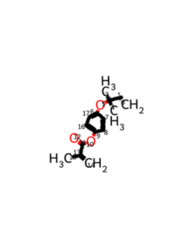 C=CC(C)(C)Oc1ccc(OC(=O)C(=C)C)cc1